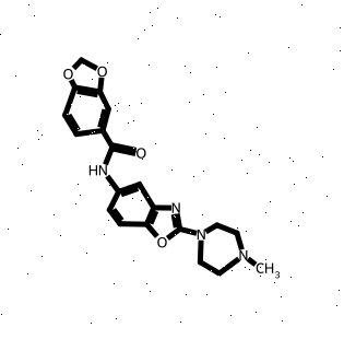 CN1CCN(c2nc3cc(NC(=O)c4ccc5c(c4)OCO5)ccc3o2)CC1